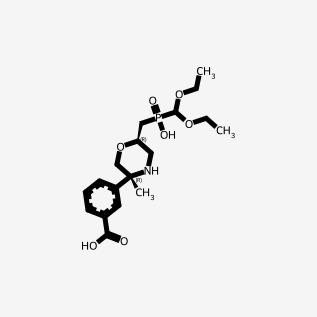 CCOC(OCC)P(=O)(O)C[C@H]1CN[C@](C)(c2cccc(C(=O)O)c2)CO1